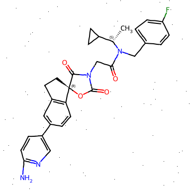 C[C@@H](C1CC1)N(Cc1ccc(F)cc1)C(=O)CN1C(=O)O[C@@]2(CCc3cc(-c4ccc(N)nc4)ccc32)C1=O